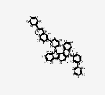 c1ccc(-c2cccc(-n3c4ccccc4c4c3ccc3c5ccccc5n(-c5cccc(-c6ccc7oc(-c8ccccc8)cc7c6)n5)c34)c2)cc1